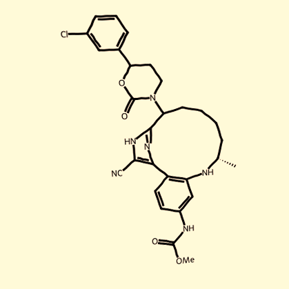 COC(=O)Nc1ccc2c(c1)N[C@@H](C)CCCCC(N1CCC(c3cccc(Cl)c3)OC1=O)c1nc-2c(C#N)[nH]1